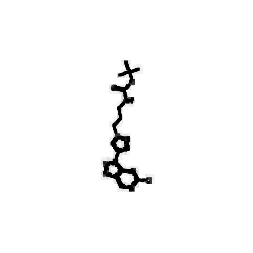 CC(C)(C)OC(=O)NCCCn1cc(-n2nnc3cnc(Cl)nc32)cn1